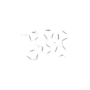 Brc1cncc(-n2c3ccccc3c3ccc4c(c32)-c2ccccc2C42c3ccccc3-c3ccccc32)c1